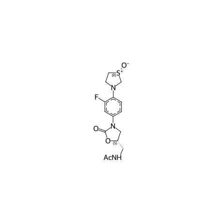 CC(=O)NC[C@H]1CN(c2ccc(N3CC[S@+]([O-])C3)c(F)c2)C(=O)O1